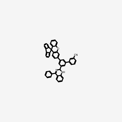 N#Cc1cccc(-c2cc(-c3ccc4c(c3)Oc3ccccc3C43c4ccccc4-c4ccccc43)cc(C3N=C(c4ccccc4)c4ccccc4N3)c2)c1